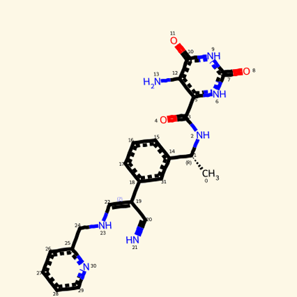 C[C@@H](NC(=O)c1[nH]c(=O)[nH]c(=O)c1N)c1cccc(/C(C=N)=C/NCc2ccccn2)c1